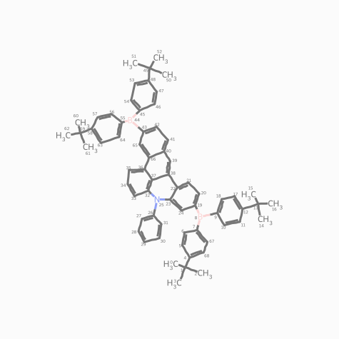 CC(C)(C)c1ccc(B(c2ccc(C(C)(C)C)cc2)c2ccc3c(c2)N(c2ccccc2)c2cccc4c2c-3cc2ccc(B(c3ccc(C(C)(C)C)cc3)c3ccc(C(C)(C)C)cc3)cc24)cc1